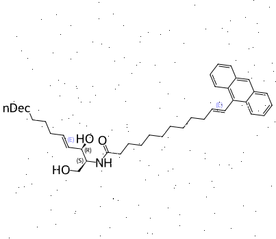 CCCCCCCCCCCCC/C=C/[C@@H](O)[C@H](CO)NC(=O)CCCCCCCCC/C=C/c1c2ccccc2cc2ccccc12